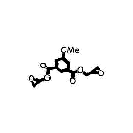 COc1cc(C(=O)OCC2CO2)cc(C(=O)OC2CO2)c1